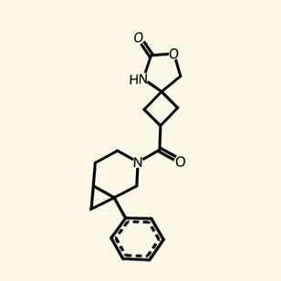 O=C1NC2(CO1)CC(C(=O)N1CCC3CC3(c3ccccc3)C1)C2